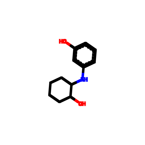 Oc1cccc(NC2CCCCC2O)c1